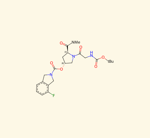 CNC(=O)[C@@H]1C[C@@H](OC(=O)N2Cc3cccc(F)c3C2)CN1C(=O)CNC(=O)OC(C)(C)C